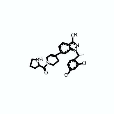 C[C@H](c1ccc(Cl)cc1Cl)n1nc(C#N)c2ccc(C3=CCN(C(=O)C4CCCN4)CC3)cc21